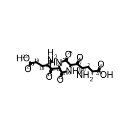 N[C@@H](CCC(=O)O)C(=O)C1NC(=O)C(C(=O)[C@@H](N)CCC(=O)O)NC1=O